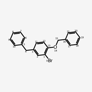 Brc1cc(Cc2ccccc2)ccc1OCc1ccccc1